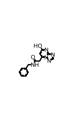 O=C(Cc1cc(O)nc2ncnn12)NCc1ccccc1